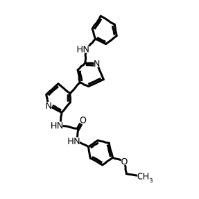 CCOc1ccc(NC(=O)Nc2cc(-c3ccnc(Nc4ccccc4)c3)ccn2)cc1